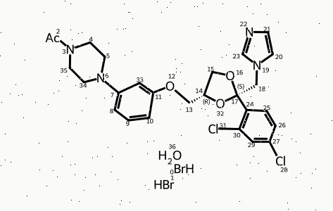 Br.Br.CC(=O)N1CCN(c2cccc(OC[C@@H]3CO[C@@](Cn4ccnc4)(c4ccc(Cl)cc4Cl)O3)c2)CC1.O